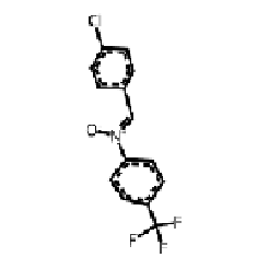 [O-][N+](=Cc1ccc(Cl)cc1)c1ccc(C(F)(F)F)cc1